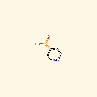 O=[PH](O)c1ccncc1